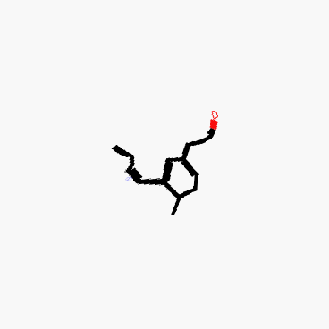 C=C/C=C\C1=CC(CC=O)=CCC1C